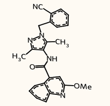 COc1cc(C(=O)Nc2c(C)nn(Cc3ccccc3C#N)c2C)c2ccccc2n1